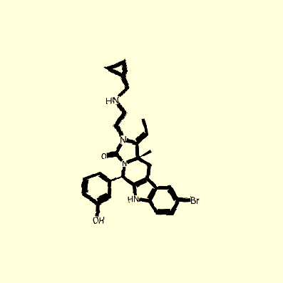 C/C=C1\N(CCNCC2CC2)C(=O)N2[C@H](c3cccc(O)c3)c3[nH]c4ccc(Br)cc4c3C[C@@]12C